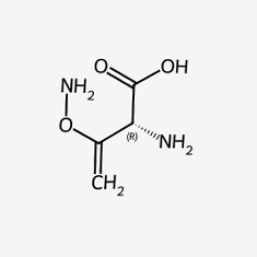 C=C(ON)[C@@H](N)C(=O)O